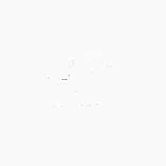 CCN1CCC(C2CCC(O[C@H]3CCN(C)C3)NC2C)C(N)C1